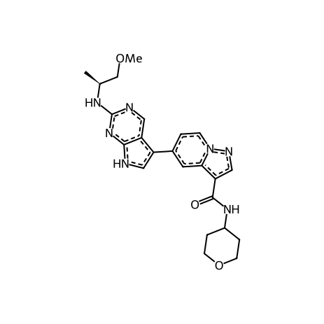 COC[C@H](C)Nc1ncc2c(-c3ccn4ncc(C(=O)NC5CCOCC5)c4c3)c[nH]c2n1